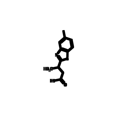 Cc1ccc2sc(C(CC(=O)S)C(=O)O)nc2c1